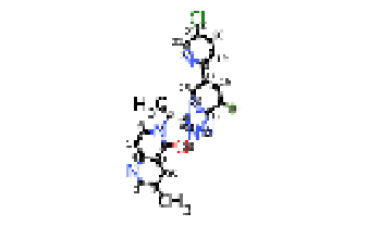 Cc1cnc2ccn(C(C)c3nnc4c(F)cc(-c5ccc(Cl)cn5)cn34)c(=O)c2c1